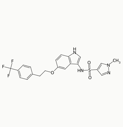 Cn1cc(S(=O)(=O)Nc2c[nH]c3ccc(OCCc4ccc(C(F)(F)F)cc4)cc23)cn1